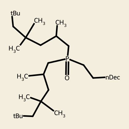 CCCCCCCCCCCCP(=O)(CC(C)CC(C)(C)CC(C)(C)C)CC(C)CC(C)(C)CC(C)(C)C